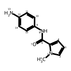 Cn1cccc1C(=O)Nc1ccc(N)cc1